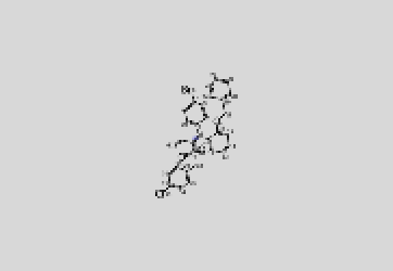 O=C/C(=C(\c1ccc(Br)cc1)c1ccccc1OCc1ccccc1)S(=O)(=O)Cc1ccc(Cl)cc1